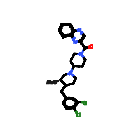 CO[C@@H]1CN(C2CCN(C(=O)c3cnc4ccccc4n3)CC2)CCC1Cc1ccc(Cl)c(Cl)c1